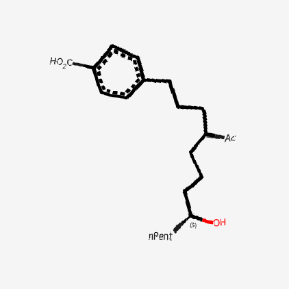 CCCCC[C@H](O)CCCC(CCCc1ccc(C(=O)O)cc1)C(C)=O